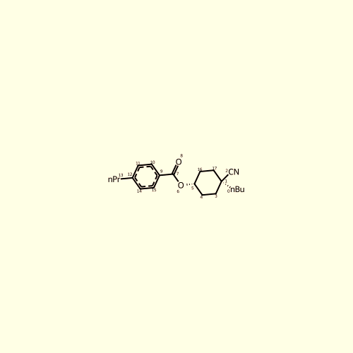 CCCC[C@]1(C#N)CC[C@H](OC(=O)c2ccc(CCC)cc2)CC1